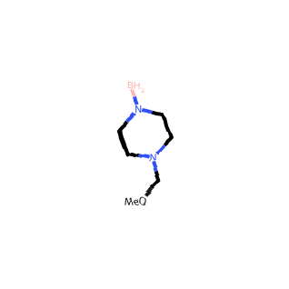 BN1CCN(COC)CC1